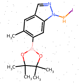 Cc1cc2cnn(PI)c2cc1B1OC(C)(C)C(C)(C)O1